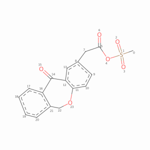 CS(=O)(=O)OC(=O)Cc1ccc2c(c1)C(=O)c1ccccc1CO2